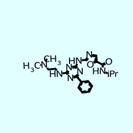 CC(C)NC(=O)c1cnc(Nc2nc(NCCN(C)C)nc(-c3ccccc3)n2)o1